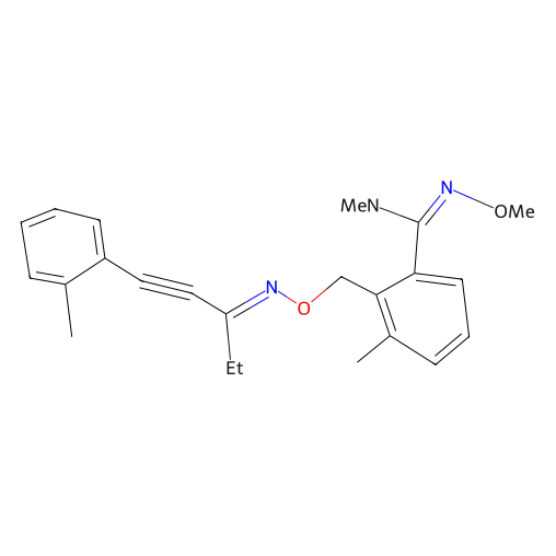 CC/C(C#Cc1ccccc1C)=N\OCc1c(C)cccc1/C(=N\OC)NC